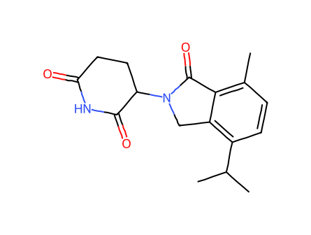 Cc1ccc(C(C)C)c2c1C(=O)N(C1CCC(=O)NC1=O)C2